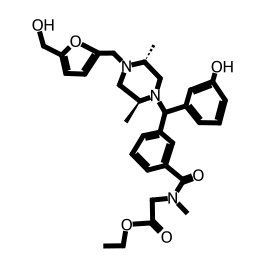 CCOC(=O)CN(C)C(=O)c1cccc(C(c2cccc(O)c2)N2C[C@@H](C)N(Cc3ccc(CO)o3)C[C@@H]2C)c1